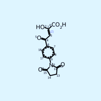 O=C(O)/C(O)=C/C(=O)c1ccc(N2C(=O)CCC2=O)cc1